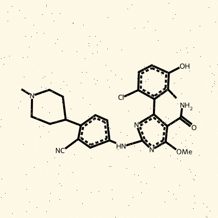 COc1nc(Nc2ccc(C3CCN(C)CC3)c(C#N)c2)nc(-c2c(Cl)ccc(O)c2C)c1C(N)=O